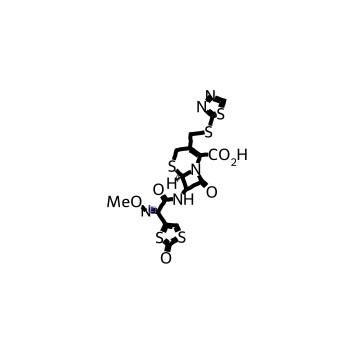 CO/N=C(\C(=O)NC1C(=O)N2C(C(=O)O)=C(CSc3nncs3)CS[C@H]12)c1csc(=O)s1